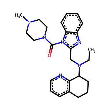 CCN(Cc1nc2ccccc2n1C(=O)N1CCN(C)CC1)C1CCCc2cccnc21